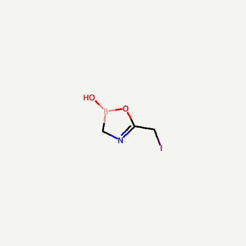 OB1CN=C(CI)O1